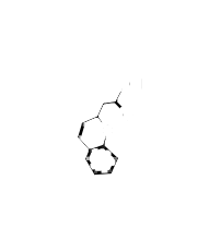 O=C(O)CC1C=Cc2ccccc2O1